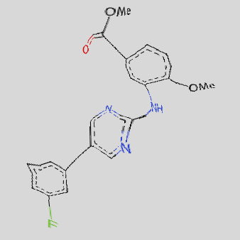 COC(=O)c1ccc(OC)c(Nc2ncc(-c3cccc(F)c3)cn2)c1